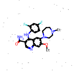 CCOc1cc2ncc(C(N)=O)c(Nc3ccc(F)cc3F)c2cc1N1CCCN(CC)CC1